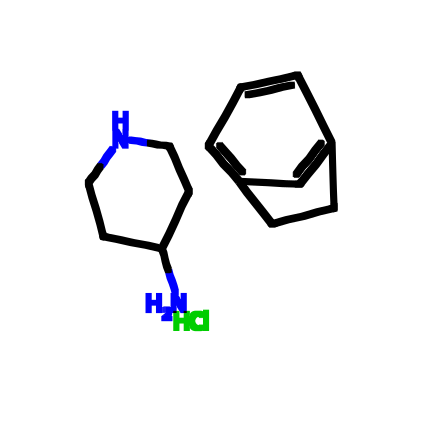 Cl.NC1CCNCC1.c1cc2cc(c1)CC2